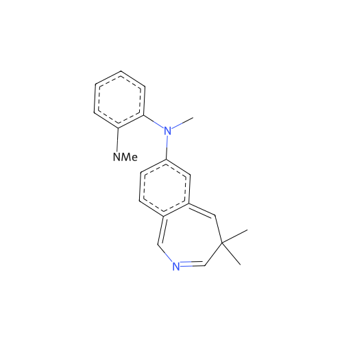 CNc1ccccc1N(C)c1ccc2c(c1)=CC(C)(C)C=NC=2